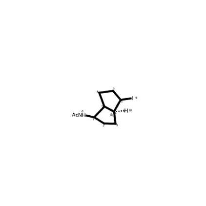 CC(=O)NC1CC[C@@H]2C(I)CCC12